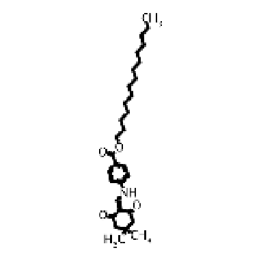 CCCCCCCCCCCCCCCOC(=O)c1ccc(NC=C2C(=O)CC(C)(C)CC2=O)cc1